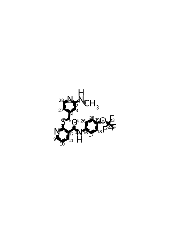 CNc1cc(CSc2ncccc2C(=O)Nc2ccc(OC(F)(F)F)cc2)ccn1